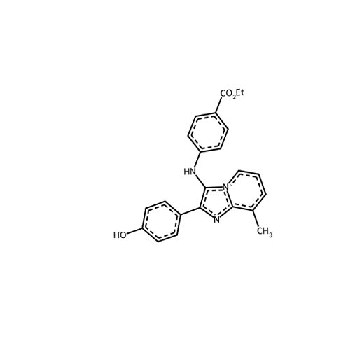 CCOC(=O)c1ccc(Nc2c(-c3ccc(O)cc3)nc3c(C)cccn23)cc1